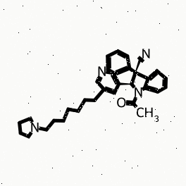 CC(=O)N1c2ccccc2[C@@](C#N)(c2ccccc2)[C@@H]1c1cncc(CCCCCCCN2CCCC2)c1